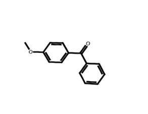 COc1ccc(C(=O)c2cc[c]cc2)cc1